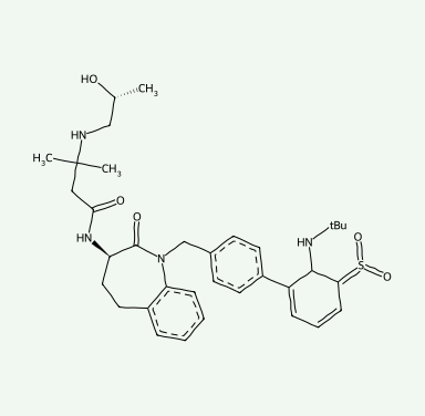 C[C@@H](O)CNC(C)(C)CC(=O)N[C@@H]1CCc2ccccc2N(Cc2ccc(C3=CC=CC(=S(=O)=O)C3NC(C)(C)C)cc2)C1=O